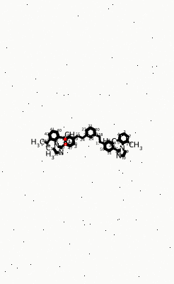 Cc1cccc(C)c1-n1ccnc1-c1ccc(CCc2cccc(CCc3ccc(-c4nccn4-c4c(C(C)C)cccc4C(C)C)cc3)c2)cc1